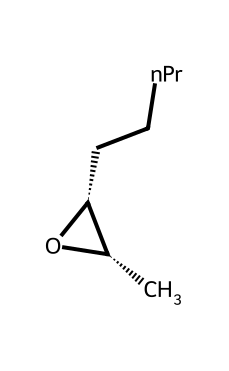 CCCCC[C@H]1O[C@H]1C